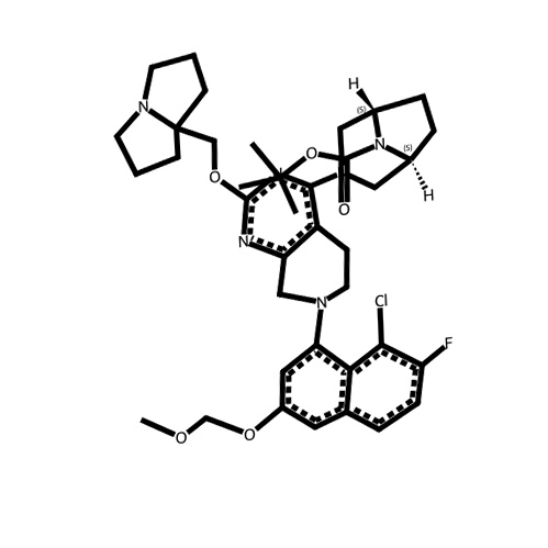 COCOc1cc(N2CCc3c(nc(OCC45CCCN4CCC5)nc3N3C[C@@H]4CC[C@@H](C3)N4C(=O)OC(C)(C)C)C2)c2c(Cl)c(F)ccc2c1